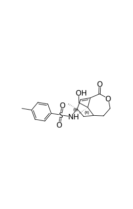 Cc1ccc(S(=O)(=O)N[C@@]2(C)C=C3C(=O)OCCC(C2)[C@@]3(C)CO)cc1